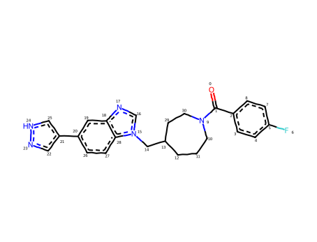 O=C(c1ccc(F)cc1)N1CCCC(Cn2cnc3cc(-c4cn[nH]c4)ccc32)CC1